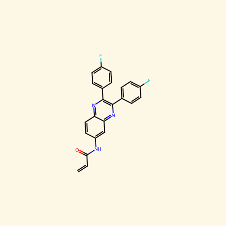 C=CC(=O)Nc1ccc2nc(-c3ccc(F)cc3)c(-c3ccc(F)cc3)nc2c1